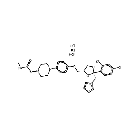 CNC(=O)CN1CCN(c2ccc(OC[C@@H]3CO[C@@](Cn4ccnc4)(c4ccc(Cl)cc4Cl)O3)cc2)CC1.Cl.Cl.Cl